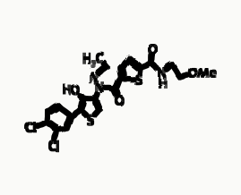 CC=NN(C(=O)c1ccc(C(=O)NCCOC)s1)c1csc(-c2ccc(Cl)c(Cl)c2)c1O